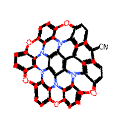 N#Cc1ccc(-c2c(N3c4ccccc4Oc4ccccc43)c(N3c4ccccc4Oc4ccccc43)c(N3c4ccccc4Oc4ccccc43)c(N3c4ccccc4Oc4ccccc43)c2N2c3ccccc3Oc3ccccc32)cc1